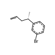 C=CC[C@H](C)c1cccc(Br)c1